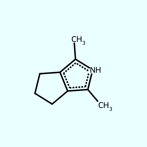 Cc1[nH]c(C)c2c1CCC2